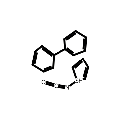 O=C=N[SH]1C=CC=C1.c1ccc(-c2ccccc2)cc1